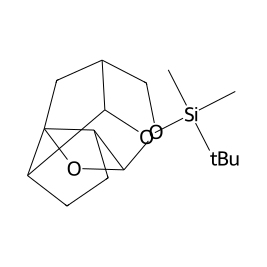 CC(C)(C)[Si](C)(C)OC1C2COC3OC4(C2)C3CCC14